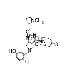 C=CC(=O)N1C2CC(=O)CC1CN(c1nc(OC[C@@H]3CCCN3C)nc3c1CN(Cc1cc(O)ccc1Cl)C3)C2